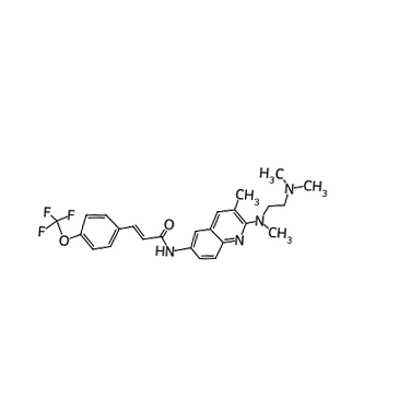 Cc1cc2cc(NC(=O)C=Cc3ccc(OC(F)(F)F)cc3)ccc2nc1N(C)CCN(C)C